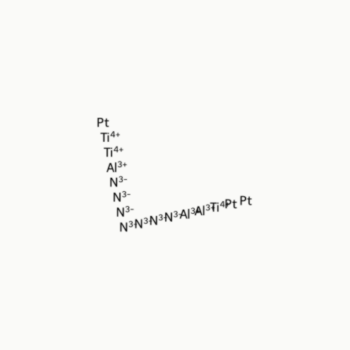 [Al+3].[Al+3].[Al+3].[N-3].[N-3].[N-3].[N-3].[N-3].[N-3].[N-3].[Pt].[Pt].[Pt].[Ti+4].[Ti+4].[Ti+4]